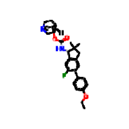 CCOc1ccc(-c2cc3c(cc2F)[C@H](NC(=O)O[C@@H]2CN4CCC2CC4)C(C)(C)C3)cc1